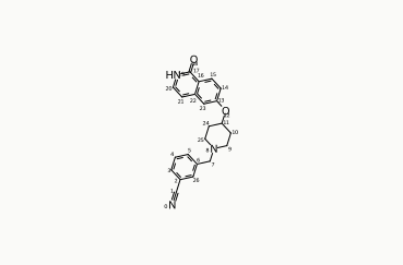 N#Cc1cccc(CN2CCC(Oc3ccc4c(=O)[nH]ccc4c3)CC2)c1